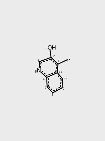 [CH2]c1c(O)cnc2ccccc12